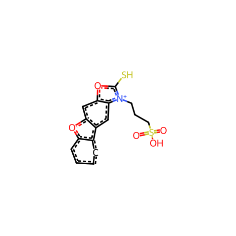 O=S(=O)(O)CCC[n+]1c(S)oc2cc3oc4ccccc4c3cc21